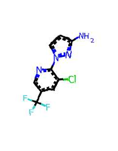 Nc1ccn(-c2ncc(C(F)(F)F)cc2Cl)n1